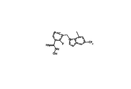 Cc1cc(C(F)(F)F)cc2ccn(Cc3cccc(C(=N)NO)c3F)c12